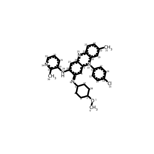 COC1CCC(/N=c2\cc3n(-c4ccc(Cl)cc4)c4cc(C)ccc4nc-3cc2Nc2cccnc2C)CC1